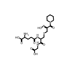 NC(CCC(=O)NC(CSCC(=NO)C(=O)N1CCCCC1)C(=O)NCC(=O)O)C(=O)O